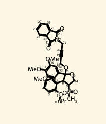 CCCOc1ccccc1C1C(S(C)(=O)=O)COC1(OCC#CCN1C(=O)c2ccccc2C1=O)c1cc(OC)c(OC)c(OC)c1